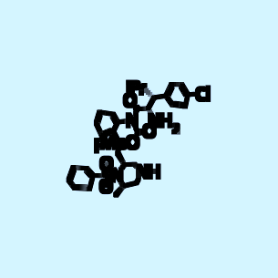 COC(=O)N(C(=O)[C@@H](N)[C@@H](c1ccc(Cl)cc1)C(C)C)c1cccc(F)c1CC[C@H]1CNC[C@@H](C)N1S(=O)(=O)c1ccccc1